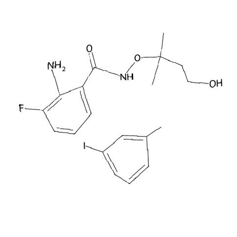 CC(C)(CCO)ONC(=O)c1cccc(F)c1N.Cc1cccc(I)c1